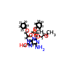 COCCOc1nc(N)c2nc(O)n(CC(COc3ccccc3)OCP(C)(=O)Oc3ccccc3)c2n1